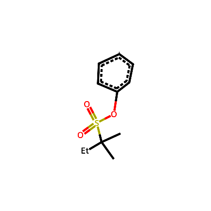 CCC(C)(C)S(=O)(=O)Oc1cc[c]cc1